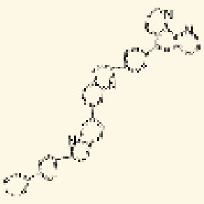 c1ccc(-c2ccc(-c3ccc4ccc(-c5ccc6ccc(-c7ccc(-c8cc9cccnc9c9ncccc89)cc7)nc6c5)cc4n3)cc2)cc1